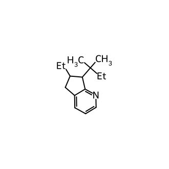 CCC1Cc2cccnc2C1C(C)(C)CC